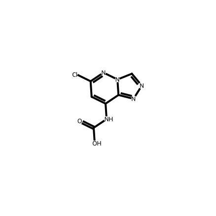 O=C(O)Nc1cc(Cl)nn2cnnc12